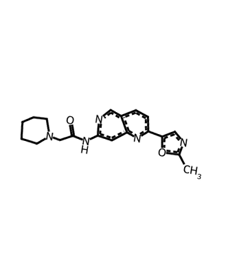 Cc1ncc(-c2ccc3cnc(NC(=O)CN4CCCCC4)cc3n2)o1